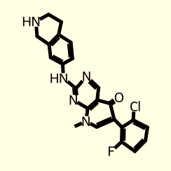 Cn1cc(-c2c(F)cccc2Cl)c(=O)c2cnc(Nc3ccc4c(c3)CNCC4)nc21